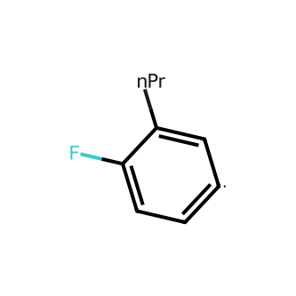 CCCc1c[c]ccc1F